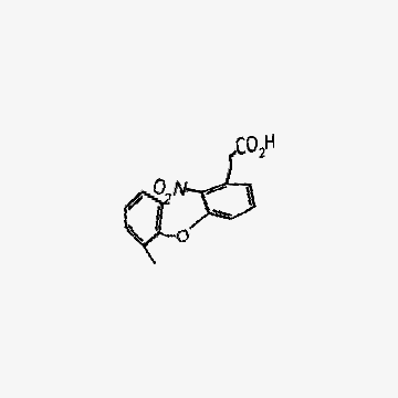 Cc1ccccc1Oc1cccc(CC(=O)O)c1[N+](=O)[O-]